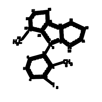 Cc1c(I)cccc1-n1c2ncccc2c2ccc[n+](C)c21